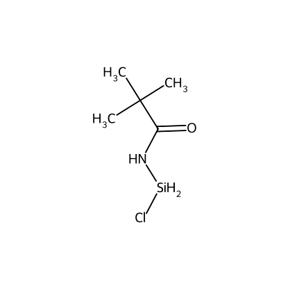 CC(C)(C)C(=O)N[SiH2]Cl